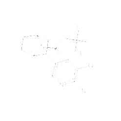 CC(C)(C)OC(=O)N1C2CCC1C(c1cnc(N)c(Br)c1)C2